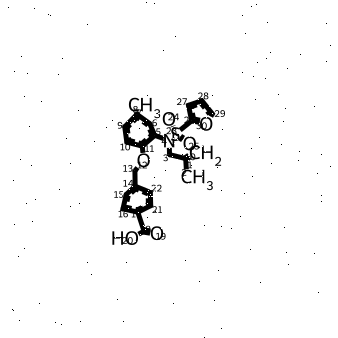 C=C(C)CN(c1cc(C)ccc1OCc1ccc(C(=O)O)cc1)S(=O)(=O)c1ccco1